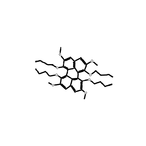 CCCCOc1c(OC)cc2cc(OC)c(OCCCC)c3c4c(OCCCC)c(OC)cc5cc(OC)c(OCCCC)c(c1c23)c54